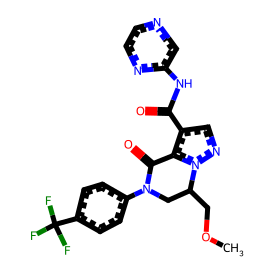 COCC1CN(c2ccc(C(F)(F)F)cc2)C(=O)c2c(C(=O)Nc3cnccn3)cnn21